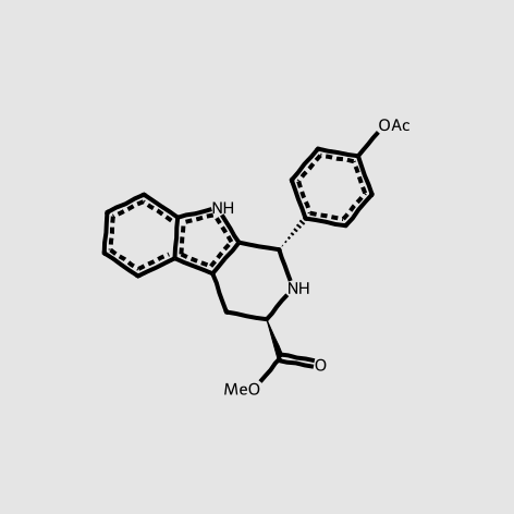 COC(=O)[C@H]1Cc2c([nH]c3ccccc23)[C@H](c2ccc(OC(C)=O)cc2)N1